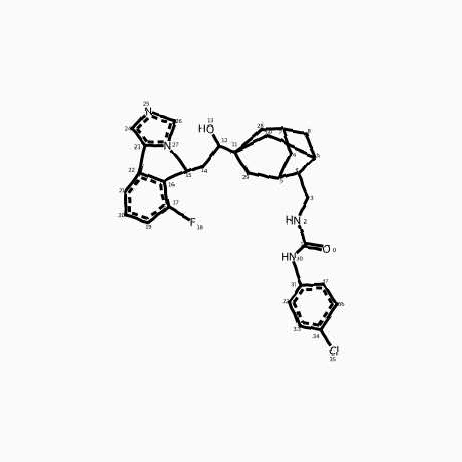 O=C(NCC1C2CC3CC1CC(C(O)CC1c4c(F)cccc4-c4cncn41)(C3)C2)Nc1ccc(Cl)cc1